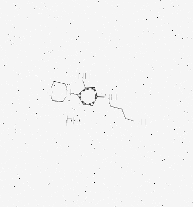 Cl.Cl.Nc1cc(NCCCO)ccc1N1CCOCC1